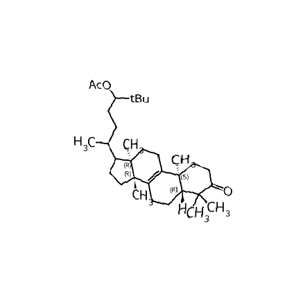 CC(=O)OC(CCC(C)C1CC[C@@]2(C)C3=C(CC[C@]12C)[C@@]1(C)CCC(=O)C(C)(C)[C@@H]1CC3)C(C)(C)C